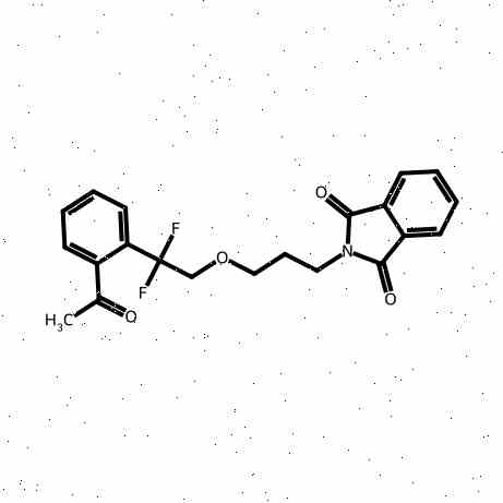 CC(=O)c1ccccc1C(F)(F)COCCCN1C(=O)c2ccccc2C1=O